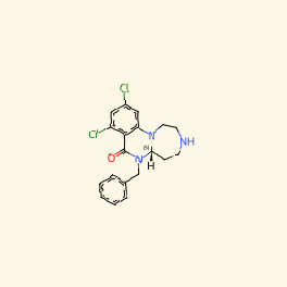 O=C1c2c(Cl)cc(Cl)cc2N2CCNCC[C@@H]2N1Cc1ccccc1